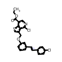 CCOC(=O)c1cnc(Cl)c2c(COc3cccc(/C=C/c4ccc(Cl)cc4)c3)csc12